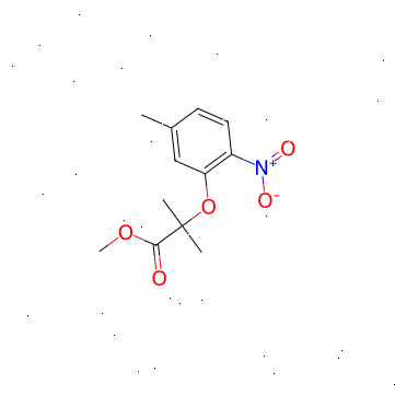 COC(=O)C(C)(C)Oc1cc(C)ccc1[N+](=O)[O-]